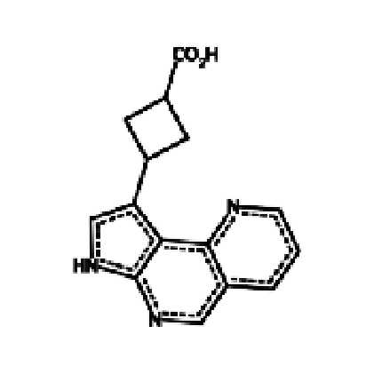 O=C(O)C1CC(c2c[nH]c3ncc4cccnc4c23)C1